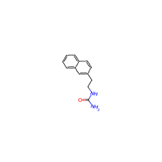 NC(=O)NCCc1ccc2ccccc2c1